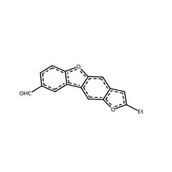 CCc1cc2cc3oc4ccc(C=O)cc4c3cc2o1